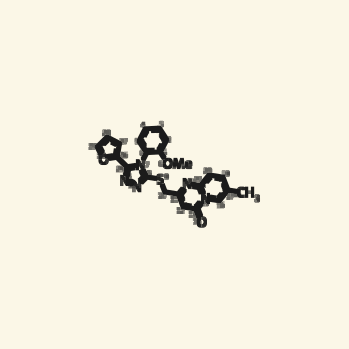 COc1ccccc1-n1c(SCc2cc(=O)n3cc(C)ccc3n2)nnc1-c1ccco1